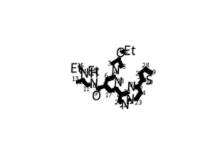 CCOC1CN(c2cc(C(=O)NCC(C)N(CC)CC)cc(-c3cnn4ccc(-c5cccs5)nc34)n2)C1